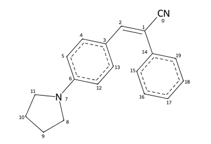 N#CC(=Cc1ccc(N2CCCC2)cc1)c1ccccc1